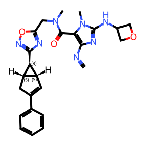 C=Nc1nc(NC2COC2)n(C)c1C(=O)N(C)Cc1nc([C@H]2[C@@H]3C=C(c4ccccc4)C[C@@H]32)no1